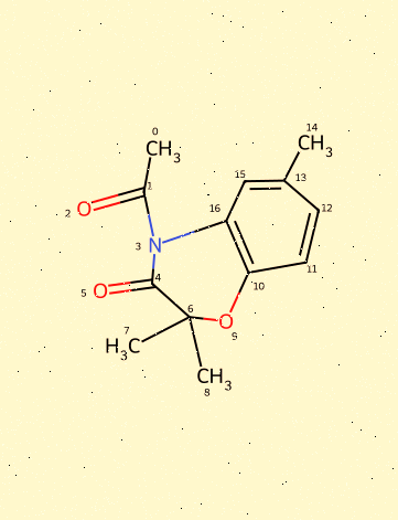 CC(=O)N1C(=O)C(C)(C)Oc2ccc(C)cc21